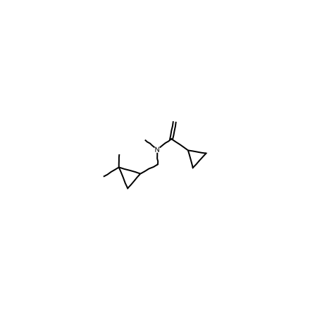 C=C(C1CC1)N(C)CC1CC1(C)C